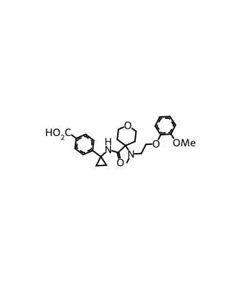 COc1ccccc1OCCN(C)C1(C(=O)NC2(c3ccc(C(=O)O)cc3)CC2)CCOCC1